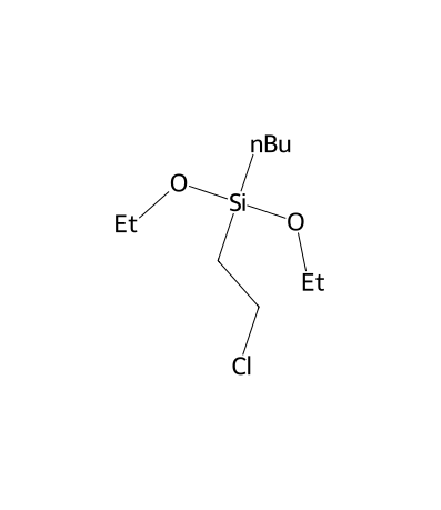 CCCC[Si](CCCl)(OCC)OCC